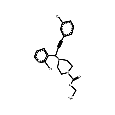 CCOC(=O)N1CCN(C(C#Cc2cccc(Cl)c2)c2cccnc2Cl)CC1